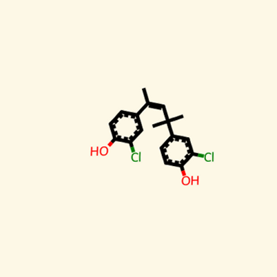 C/C(=C/C(C)(C)c1ccc(O)c(Cl)c1)c1ccc(O)c(Cl)c1